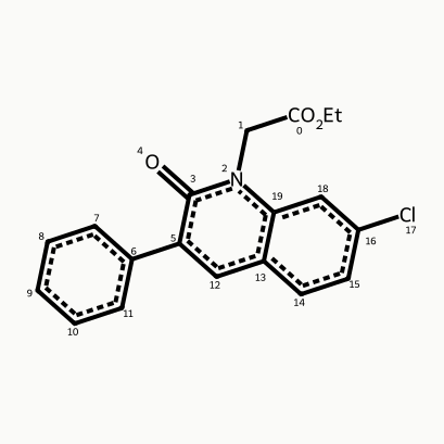 CCOC(=O)Cn1c(=O)c(-c2ccccc2)cc2ccc(Cl)cc21